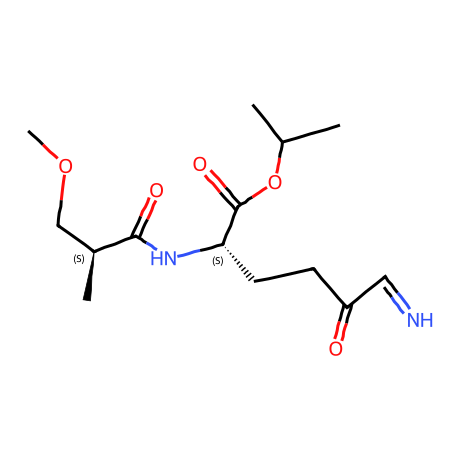 COC[C@H](C)C(=O)N[C@@H](CCC(=O)C=N)C(=O)OC(C)C